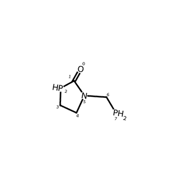 O=C1PCCN1CP